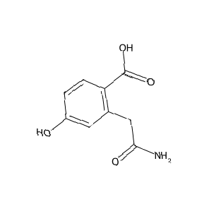 NC(=O)Cc1cc(O)ccc1C(=O)O